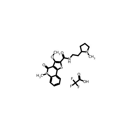 COc1c(C(=O)NCCC2CCCN2C)sc2c1c(=O)n(C)c1ccccc21.O=C(O)C(F)(F)F